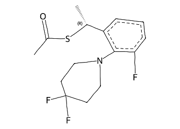 CC(=O)S[C@H](C)c1cccc(F)c1N1CCC(F)(F)CC1